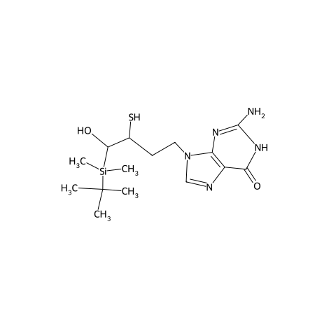 CC(C)(C)[Si](C)(C)C(O)C(S)CCn1cnc2c(=O)[nH]c(N)nc21